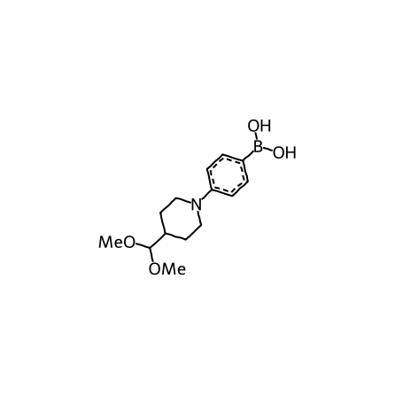 COC(OC)C1CCN(c2ccc(B(O)O)cc2)CC1